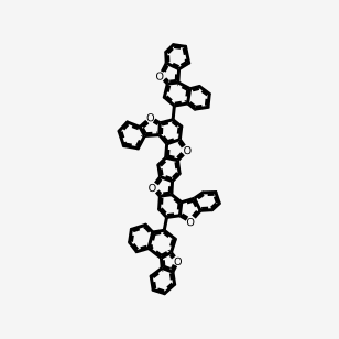 c1ccc2c(c1)oc1cc(-c3cc4oc5cc6c(cc5c4c4c3oc3ccccc34)oc3cc(-c4cc5oc7ccccc7c5c5ccccc45)c4oc5ccccc5c4c36)c3ccccc3c12